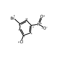 O=[N+]([O-])c1cc(Cl)[c]c(Br)c1